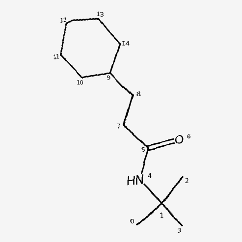 CC(C)(C)NC(=O)CCC1CCCCC1